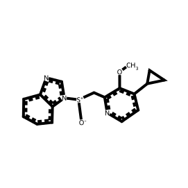 COc1c(C2CC2)ccnc1C[S+]([O-])n1cnc2ccccc21